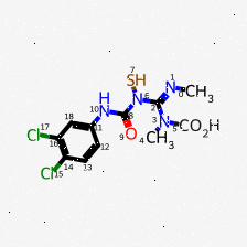 CN=C(N(C)C(=O)O)N(S)C(=O)Nc1ccc(Cl)c(Cl)c1